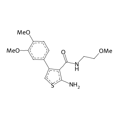 COCCNC(=O)c1c(-c2ccc(OC)c(OC)c2)csc1N